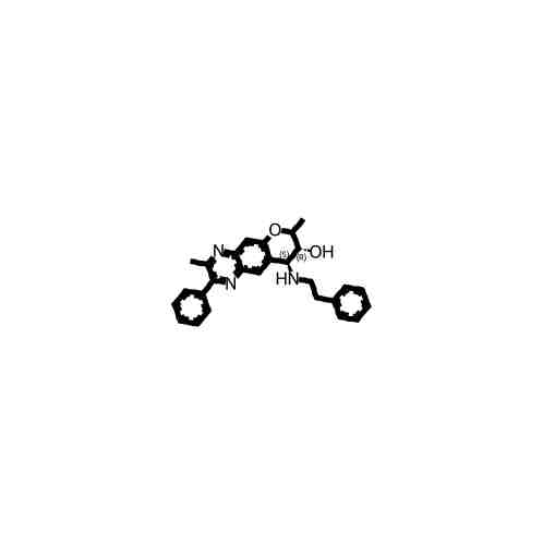 Cc1nc2cc3c(cc2nc1-c1ccccc1)[C@H](NCCc1ccccc1)[C@@H](O)C(C)O3